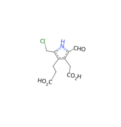 O=Cc1[nH]c(CCl)c(CCC(=O)O)c1CC(=O)O